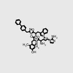 Cc1cc(O)cc(C)c1CC(NC(=O)C(N)CCCn1ccnc1N)C(=O)NC(Cc1cn(C)c2ccccc12)c1nc(Cc2ccc(-c3ccccc3)cc2)no1